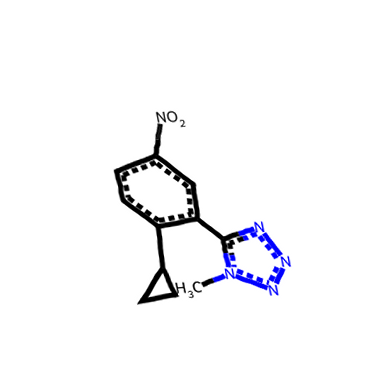 Cn1nnnc1-c1cc([N+](=O)[O-])ccc1C1CC1